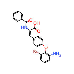 Nc1cccc(Br)c1Oc1ccc(/C=C(/NC(=O)c2ccccc2)C(=O)O)cc1